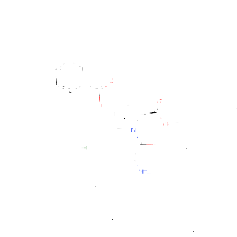 COC(=O)[C@@H]1C[C@@H](OC(=O)c2ccccc2)CN1C(=O)CN.Cl